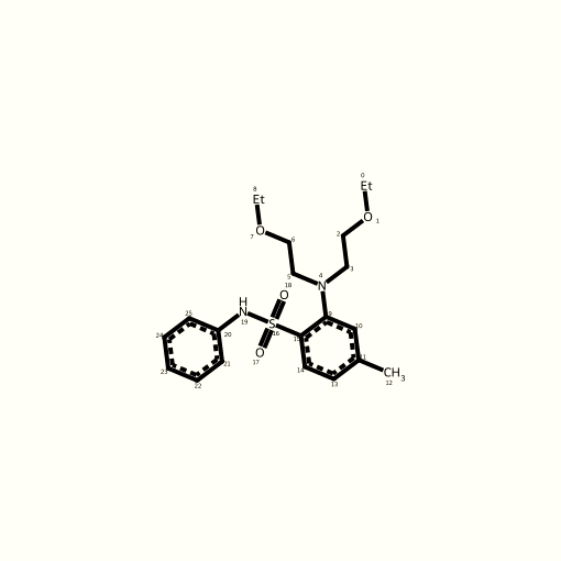 CCOCCN(CCOCC)c1cc(C)ccc1S(=O)(=O)Nc1ccccc1